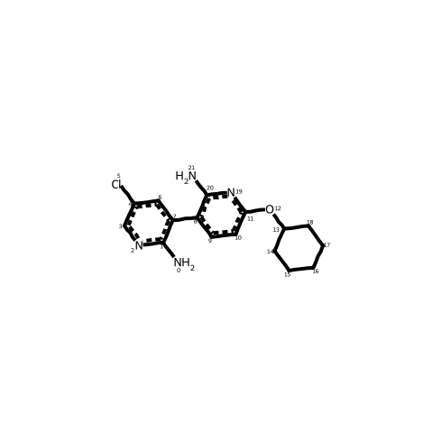 Nc1ncc(Cl)cc1-c1ccc(OC2CCCCC2)nc1N